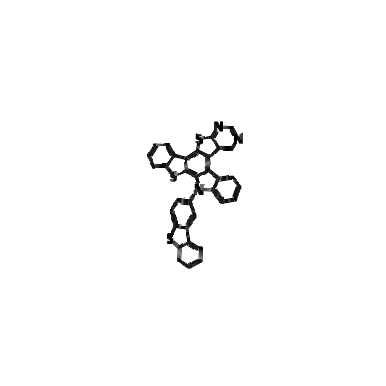 c1ccc2c(c1)sc1ccc(-n3c4ccccc4c4c5c6cncnc6sc5c5c6ccccc6sc5c43)cc12